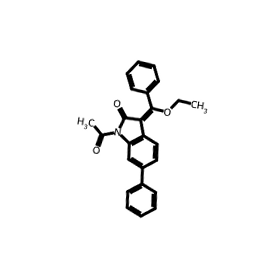 CCOC(=C1C(=O)N(C(C)=O)c2cc(-c3ccccc3)ccc21)c1ccccc1